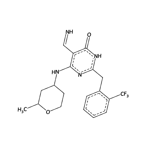 CC1CC(Nc2nc(Cc3ccccc3C(F)(F)F)[nH]c(=O)c2C=N)CCO1